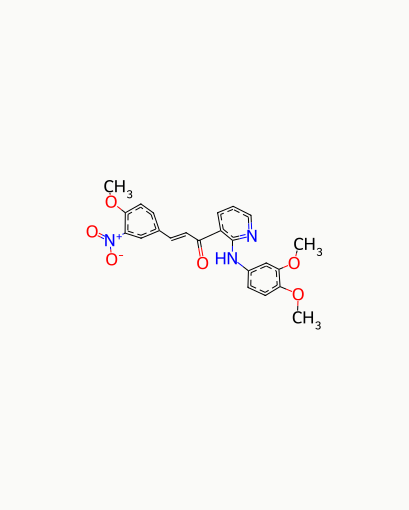 COc1ccc(Nc2ncccc2C(=O)/C=C/c2ccc(OC)c([N+](=O)[O-])c2)cc1OC